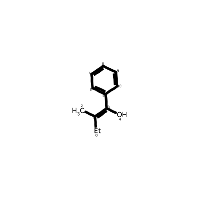 CCC(C)=C(O)c1ccccc1